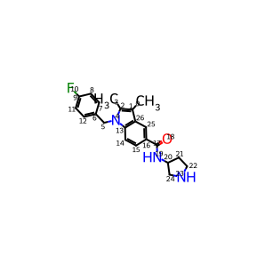 Cc1c(C)n(Cc2ccc(F)cc2)c2ccc(C(=O)NC3CCNC3)cc12